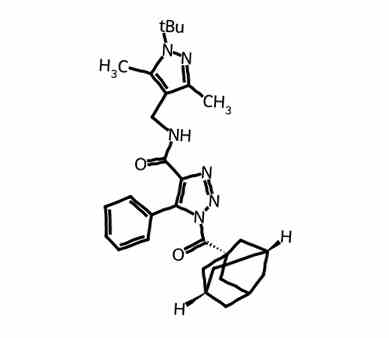 Cc1nn(C(C)(C)C)c(C)c1CNC(=O)c1nnn(C(=O)[C@]23CC4C[C@H](C[C@H](C4)C2)C3)c1-c1ccccc1